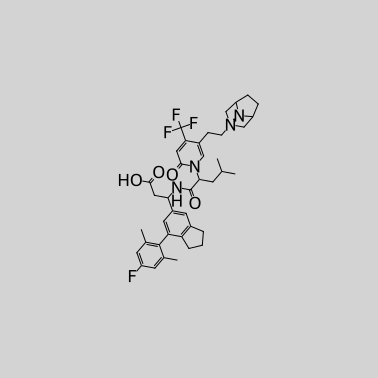 Cc1cc(F)cc(C)c1-c1cc(C(CC(=O)O)NC(=O)C(CC(C)C)n2cc(CCN3CC4CCC(C3)N4C)c(C(F)(F)F)cc2=O)cc2c1CCC2